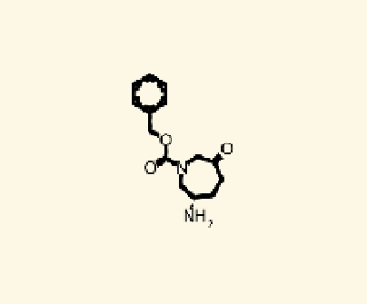 N[C@H]1CCC(=O)CN(C(=O)OCc2ccccc2)C1